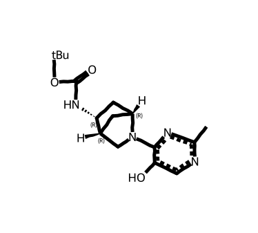 Cc1ncc(O)c(N2C[C@H]3C[C@@H]2C[C@H]3NC(=O)OC(C)(C)C)n1